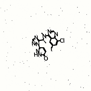 C[C@@H](c1ncnn1-c1ccc(=O)[nH]n1)N(C)c1ncnc2c(Cl)cc(I)cc12